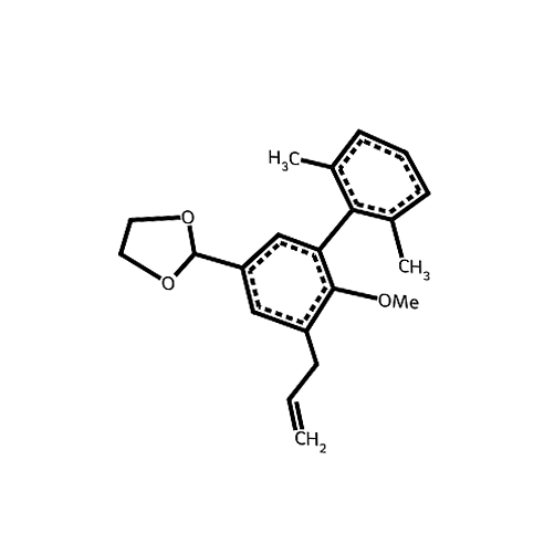 C=CCc1cc(C2OCCO2)cc(-c2c(C)cccc2C)c1OC